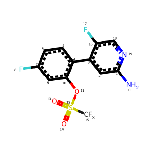 Nc1cc(-c2ccc(F)cc2OS(=O)(=O)C(F)(F)F)c(F)cn1